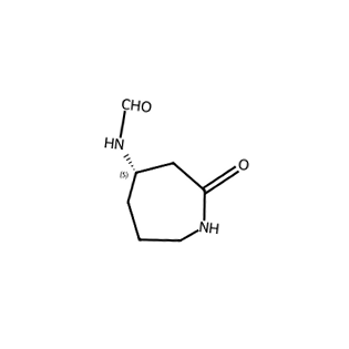 O=CN[C@H]1CCCNC(=O)C1